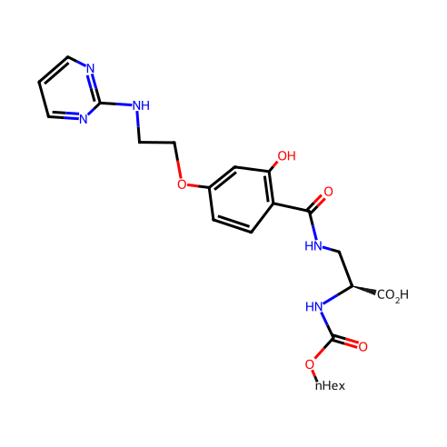 CCCCCCOC(=O)N[C@@H](CNC(=O)c1ccc(OCCNc2ncccn2)cc1O)C(=O)O